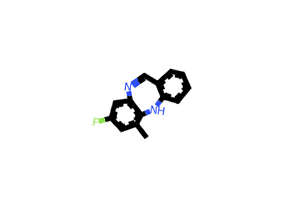 Cc1cc(F)cc2c1Nc1ccccc1C=N2